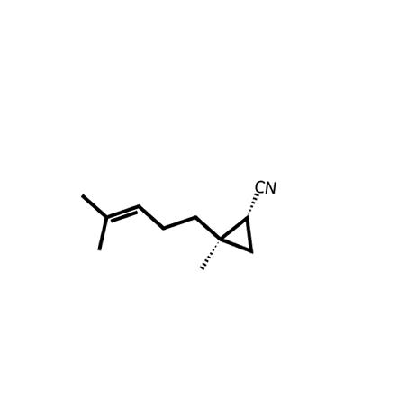 CC(C)=CCC[C@]1(C)C[C@H]1C#N